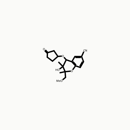 COCC1(C)Oc2ccc(C#N)cc2C(OC2CCC(=O)C2)C1(C)O